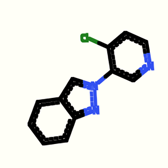 Clc1ccncc1-n1cc2ccccc2n1